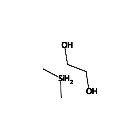 C[SiH2]C.OCCO